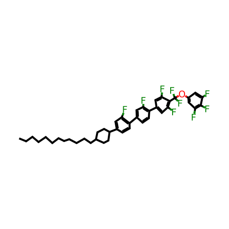 CCCCCCCCCCCCC1CCC(c2ccc(-c3ccc(-c4cc(F)c(C(F)(F)Oc5cc(F)c(F)c(F)c5)c(F)c4)c(F)c3)c(F)c2)CC1